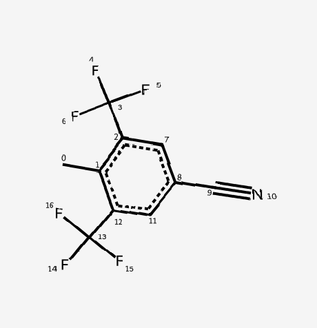 Cc1c(C(F)(F)F)cc(C#N)cc1C(F)(F)F